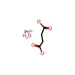 O.O=C([O-])CCC(=O)[O-].[Pt+2]